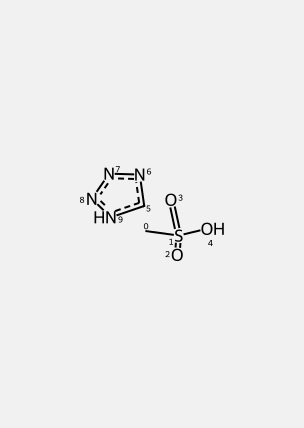 CS(=O)(=O)O.c1nnn[nH]1